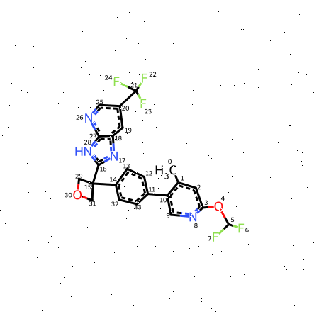 Cc1cc(OC(F)F)ncc1-c1ccc(C2(c3nc4cc(C(F)(F)F)cnc4[nH]3)COC2)cc1